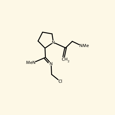 C=C(CNC)N1CCCC1/C(=N/CCl)NC